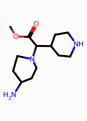 COC(=O)C(C1CCNCC1)N1CCC(N)CC1